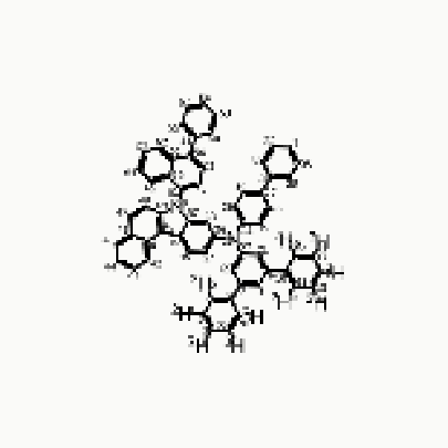 [2H]c1c([2H])c([2H])c(-c2cc(-c3c([2H])c([2H])c([2H])c([2H])c3[2H])cc(N(c3ccc(-c4ccccc4)cc3)c3ccc4c5c6ccccc6ccc5n(-c5ccc(-c6ccccc6)c6ccccc56)c4c3)c2)c([2H])c1[2H]